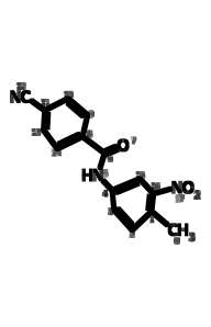 Cc1ccc(NC(=O)c2ccc(C#N)cc2)cc1[N+](=O)[O-]